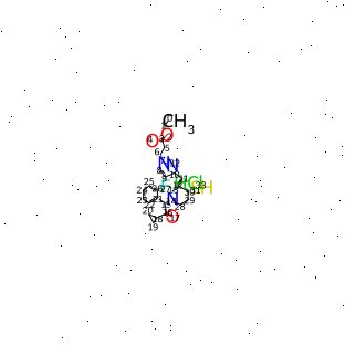 CCOC(=O)CCn1ccc(/C=C2\CN(C(C(=O)C3CC3)c3ccccc3F)CC[C@H]2S)n1.Cl